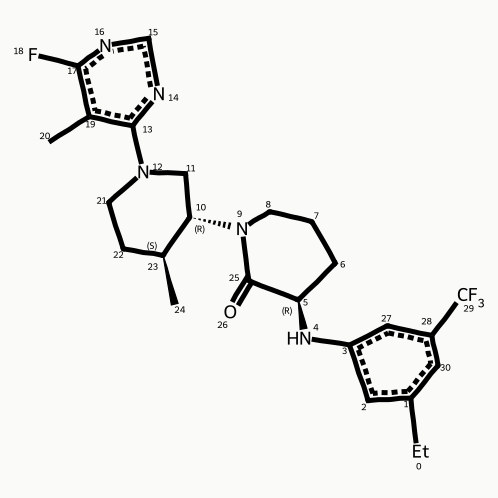 CCc1cc(N[C@@H]2CCCN([C@H]3CN(c4ncnc(F)c4C)CC[C@@H]3C)C2=O)cc(C(F)(F)F)c1